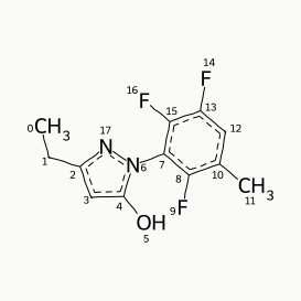 CCc1cc(O)n(-c2c(F)c(C)cc(F)c2F)n1